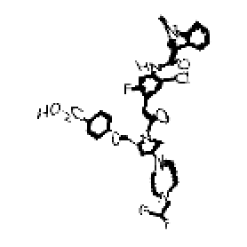 Cn1cc(C(=O)Nc2cc(F)c(CC(=O)N3C[C@@H](N4CCN(CC(F)F)CC4)C[C@H]3CO[C@H]3CC[C@H](C(=O)O)CC3)cc2Cl)c2ccccc21